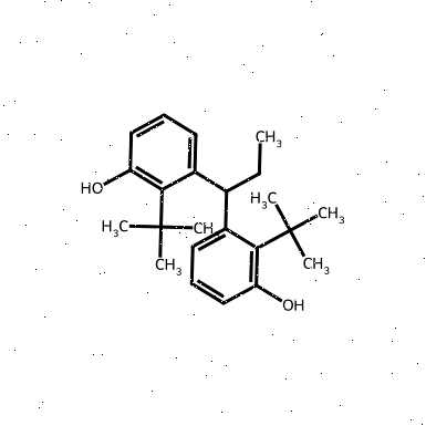 CCC(c1cccc(O)c1C(C)(C)C)c1cccc(O)c1C(C)(C)C